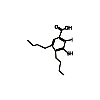 CCCCc1cc(C(=O)O)c(I)c(S)c1CCCC